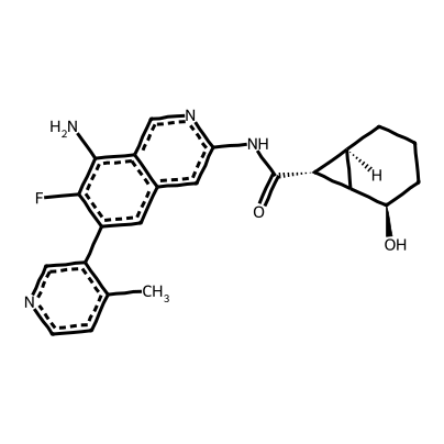 Cc1ccncc1-c1cc2cc(NC(=O)[C@H]3C4[C@H](O)CCC[C@@H]43)ncc2c(N)c1F